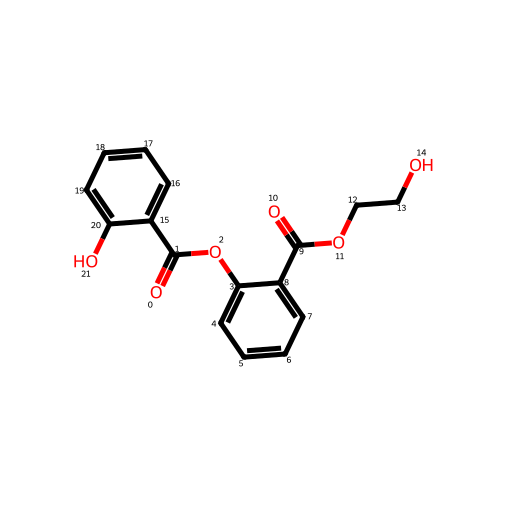 O=C(Oc1ccccc1C(=O)OCCO)c1ccccc1O